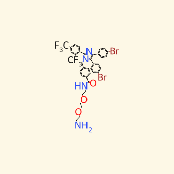 NCCOCCOCCNC(=O)c1ccc(Cn2c(-c3ccc(C(F)(F)F)cc3C(F)(F)F)nc(-c3ccc(Br)cc3)c2-c2ccc(Br)cc2)cc1